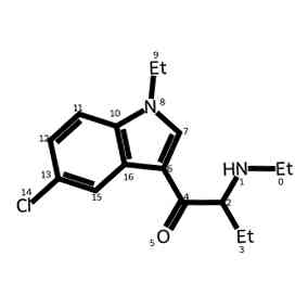 CCNC(CC)C(=O)c1cn(CC)c2ccc(Cl)cc12